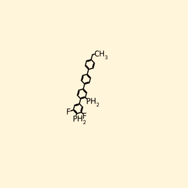 CCc1ccc(-c2ccc(-c3ccc(-c4cc(F)c(P)c(F)c4)c(P)c3)cc2)cc1